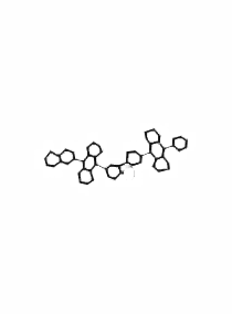 c1ccc(-c2c3ccccc3c(-c3ccc4c(c3)oc3ccc(-c5c6ccccc6c(-c6ccc7ccccc7c6)c6ccccc56)cc34)c3ccccc23)cc1